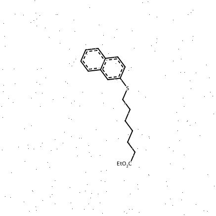 CCOC(=O)CCCCCCSc1ccc2ccccc2c1